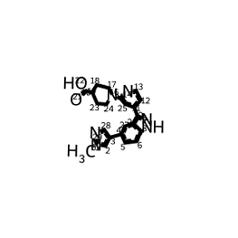 Cn1cc(-c2ccc3[nH]nc(-c4ccnc(N5CCC(C(=O)O)CC5)c4)c3c2)cn1